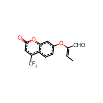 CC=C(C=O)Oc1ccc2c(C(F)(F)F)cc(=O)oc2c1